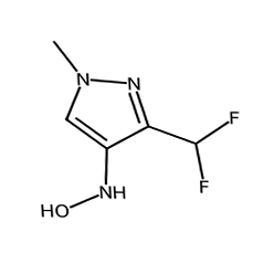 Cn1cc(NO)c(C(F)F)n1